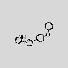 c1ccc(Oc2ccc(-c3ccn(-c4ccc[nH]4)c3)cc2)cc1